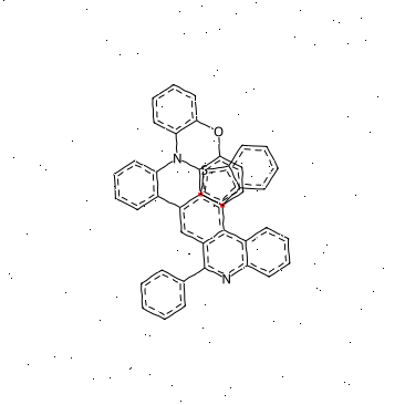 c1ccc(-c2nc3ccccc3c3c2cc(-c2ccccc2N2c4ccccc4Oc4ccccc42)c2sc4ccccc4c23)cc1